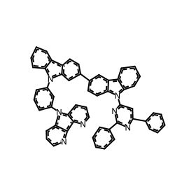 c1ccc(-c2cc(-n3c4ccccc4c4cc(-c5ccc6c7ccccc7n(-c7cccc(-n8c9cccnc9c9ncccc98)c7)c6c5)ccc43)nc(-c3ccccc3)n2)cc1